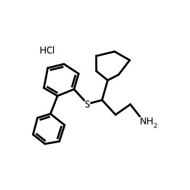 Cl.NCCC(Sc1ccccc1-c1ccccc1)C1CCCCC1